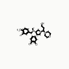 CC(=O)CCC(N1CCOCC1)N1C[C@H](c2ccc(Cl)c(Cl)c2)[C@H](N(C)Cc2ccc(C(F)(F)F)c(F)c2)C1